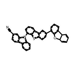 N#Cc1ccc2c3ccccc3n(-c3cccc4c3sc3ccc(-c5cccc6c5OC5C=CC=CC65)cc34)c2c1